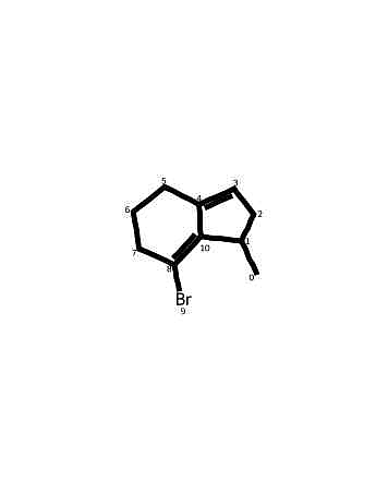 CC1CC=C2CCCC(Br)=C21